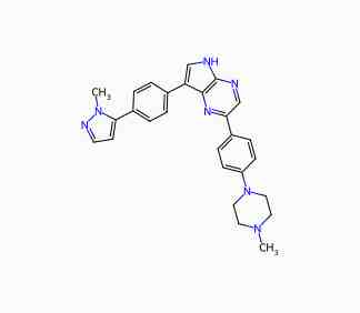 CN1CCN(c2ccc(-c3cnc4[nH]cc(-c5ccc(-c6ccnn6C)cc5)c4n3)cc2)CC1